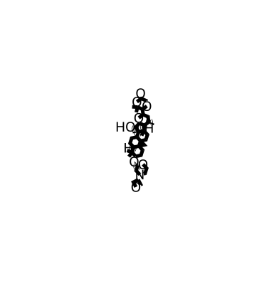 C[C@@H]1CC(C2OCC(=O)OC2(C)C)OC2[C@H]1C1(C)CCC34CC35CCC(O[C@H]3CN(C6COC6)CCO3)C(C)(C)[C@@H]5CCC4[C@]1(C)[C@H]2O